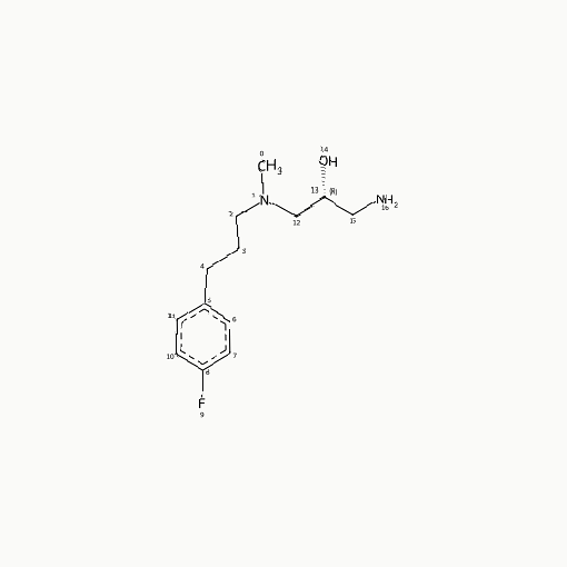 CN(CCCc1ccc(F)cc1)C[C@H](O)CN